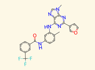 Cc1ccc(NC(=O)c2cccc(C(F)(F)F)c2)cc1Nc1nc(-c2ccoc2)nc2c1ncn2C